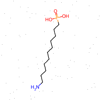 NCCCCCCCCCCCP(=O)(O)O